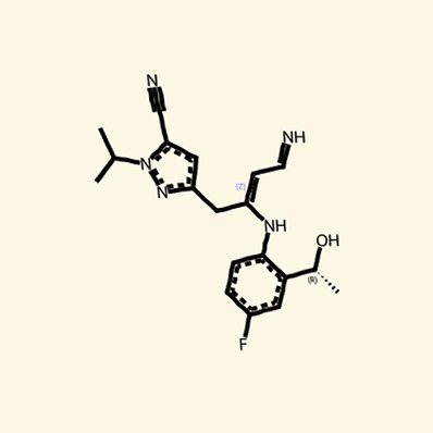 CC(C)n1nc(C/C(=C/C=N)Nc2ccc(F)cc2[C@@H](C)O)cc1C#N